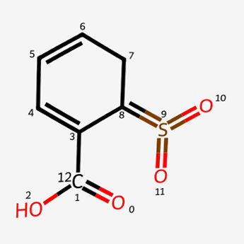 O=[12C](O)C1=CC=CCC1=S(=O)=O